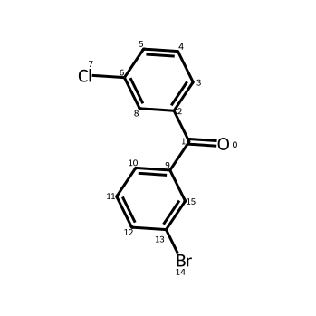 O=C(c1cccc(Cl)c1)c1cccc(Br)c1